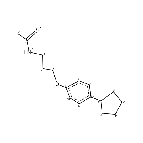 CC(=O)NCCCOc1ccc(C2CCCC2)cc1